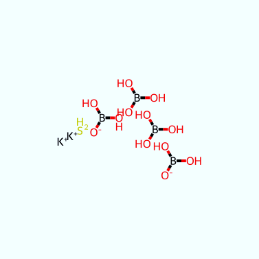 OB(O)O.OB(O)O.S.[K+].[K+].[O-]B(O)O.[O-]B(O)O